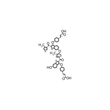 Cc1cscc1C(=O)c1sc2cc(Oc3sc(C(=O)c4sc5cc(O)ccc5c4Oc4ccc(/C=C/C(=O)O)cc4)nc3C)ccc2c1Oc1ccc(/C=C/C(=O)O)cc1